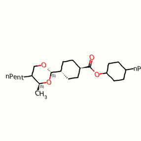 CCCCCC1CO[C@H]([C@H]2CC[C@H](C(=O)OC3CCC(CCC)CC3)CC2)O[C@H]1C